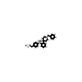 NCc1ccc(Sc2ccccc2C2(O)CCN(Cc3ccccc3)CC2)cc1